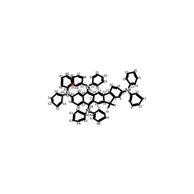 CC1(C)c2cc(N(c3ccccc3)c3ccccc3)ccc2-c2cc3c(N(c4ccccc4)c4ccccc4)c4cc(N(c5ccccc5)c5ccccc5)ccc4c(N(c4ccccc4)c4ccccc4)c3cc21